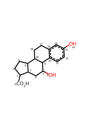 O=C(O)C1CCC2C1CC(O)C1c3ccc(O)cc3CCC21